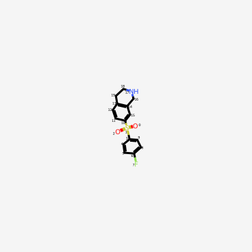 O=S(=O)(c1ccc(F)cc1)c1ccc2c(c1)CNCC2